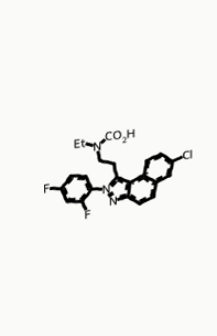 CCN(CCc1c2c(ccc3cc(Cl)ccc32)nn1-c1ccc(F)cc1F)C(=O)O